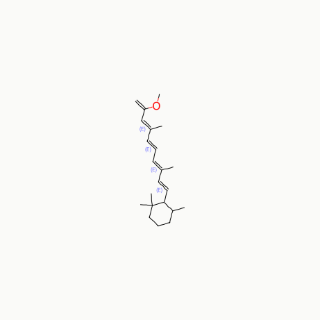 C=C(/C=C(C)/C=C/C=C(C)/C=C/C1C(C)CCCC1(C)C)OC